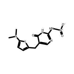 CN(C)c1ccc(Cc2cnc(N[N+](=O)[O-])[nH]c2=O)s1